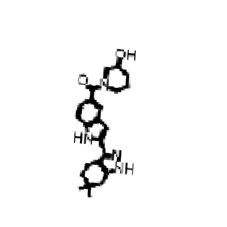 CC1(C)CCc2c(-c3cc4cc(C(=O)N5CCCC(O)C5)ccc4[nH]3)n[nH]c2C1